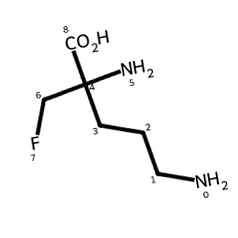 NCCCC(N)(CF)C(=O)O